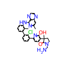 Cc1cc2nccnc2c(Nc2cccc(-c3cccc(-c4ccc(C5(C)CCN(CN)C5=O)c(O)n4)c3Cl)c2C)n1